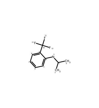 CC(C)[N]c1ccccc1C(F)(F)F